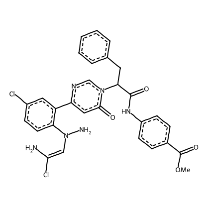 COC(=O)c1ccc(NC(=O)C(Cc2ccccc2)n2cnc(-c3cc(Cl)ccc3N(N)/C=C(\N)Cl)cc2=O)cc1